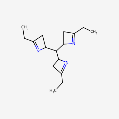 CCC1=NC(C(C2CC(CC)=N2)C2CC(CC)=N2)C1